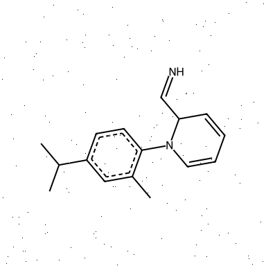 Cc1cc(C(C)C)ccc1N1C=CC=CC1C=N